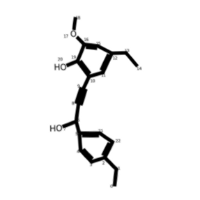 CCc1ccc(C(O)C#Cc2cc(CC)cc(OC)c2O)cc1